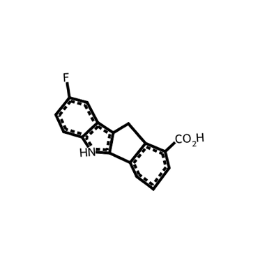 O=C(O)c1cccc2c1Cc1c-2[nH]c2ccc(F)cc12